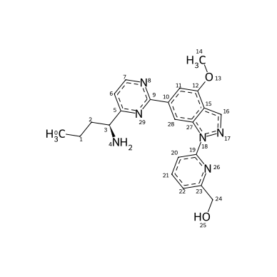 CCC[C@H](N)c1ccnc(-c2cc(OC)c3cnn(-c4cccc(CO)n4)c3c2)n1